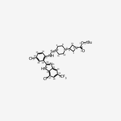 CC(C)(C)OC(=O)N1CC(N2CCN(SNc3ccc(Cl)cc3-c3nc4cc(C(F)(F)F)cc(Cl)c4[nH]3)CC2)C1